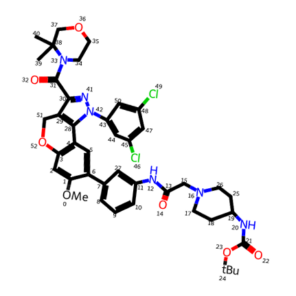 COc1cc2c(cc1-c1cccc(NC(=O)CN3CCC(NC(=O)OC(C)(C)C)CC3)c1)-c1c(c(C(=O)N3CCOCC3(C)C)nn1-c1cc(Cl)cc(Cl)c1)CO2